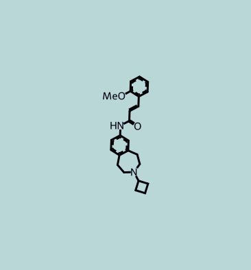 COc1ccccc1C=CC(=O)Nc1ccc2c(c1)CCN(C1CCC1)CC2